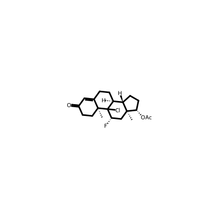 CC(=O)O[C@H]1CC[C@H]2[C@@H]3CCC4=CC(=O)CC[C@]4(C)C3(Cl)[C@@H](F)C[C@]12C